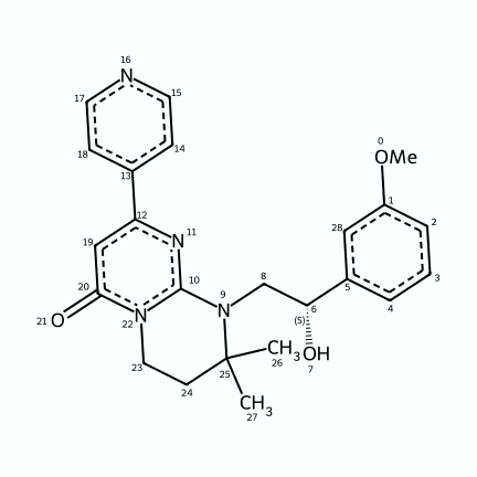 COc1cccc([C@H](O)CN2c3nc(-c4ccncc4)cc(=O)n3CCC2(C)C)c1